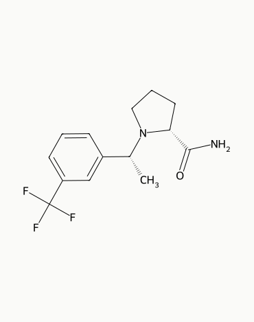 C[C@H](c1cccc(C(F)(F)F)c1)N1CCC[C@@H]1C(N)=O